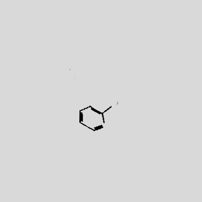 [HH].[HH].[HH].[HH].[HH].[HH].[SiH3]c1bcccc1